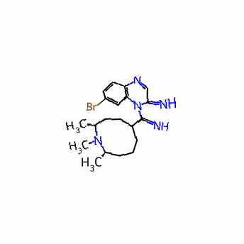 C[C@@H]1CCCC(C(=N)n2c(=N)cnc3ccc(Br)cc32)CC[C@H](C)N1C